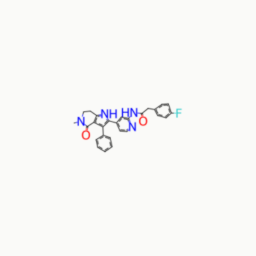 CN1CCc2[nH]c(-c3ccnc(NC(=O)Cc4ccc(F)cc4)c3)c(-c3ccccc3)c2C1=O